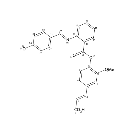 COc1cc(C=CC(=O)O)ccc1OC(=O)c1ccccc1N=Nc1ccc(O)cc1